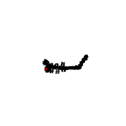 CCCCCCCC/C=C\CCCCCCCC(=O)NCCNC(=O)CCNC(=O)C(OC(C)=O)C(C)(C)COC(C)=O